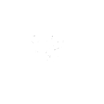 CC(C)[C@@H](C(=O)O[C@H](C)C(=O)OCc1ccccc1)N(C)C(=O)OC(C)(C)C